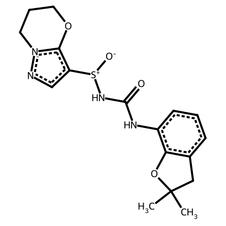 CC1(C)Cc2cccc(NC(=O)N[S+]([O-])c3cnn4c3OCCC4)c2O1